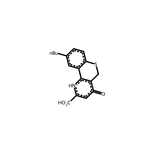 CCCCc1ccc2c(c1)-c1[nH]c(C(=O)O)cc(=O)c1CS2